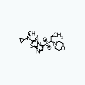 C=CC(N1CCOCC1)S(=O)(=O)c1cnc2sc(N(C)C3CC3)nn12